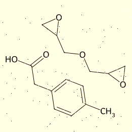 C(OCC1CO1)C1CO1.Cc1ccc(CC(=O)O)cc1